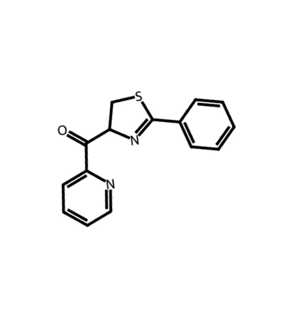 O=C(c1ccccn1)C1CSC(c2ccccc2)=N1